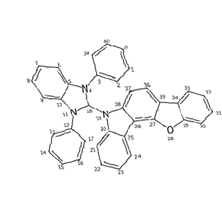 c1ccc(N2c3ccccc3N(c3ccccc3)C2n2c3ccccc3c3c4oc5ccccc5c4ccc32)cc1